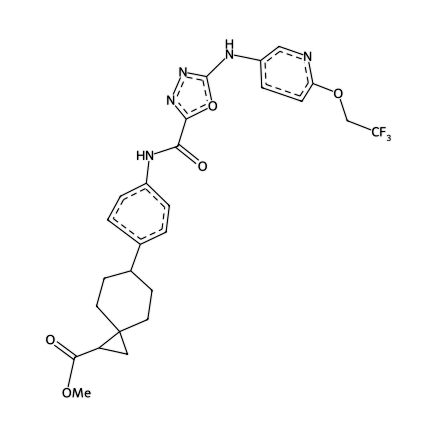 COC(=O)C1CC12CCC(c1ccc(NC(=O)c3nnc(Nc4ccc(OCC(F)(F)F)nc4)o3)cc1)CC2